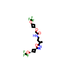 C=C(CCNC(=O)CO[C@H]1C[C@@H](OC(F)(F)F)C1)c1nnc([C@H]2C[C@@H](COC(F)(F)F)C2)o1